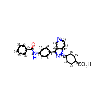 O=C(Nc1ccc(-c2nn(C3CCC(C(=O)O)CC3)c3ccncc23)cc1)c1ccccc1